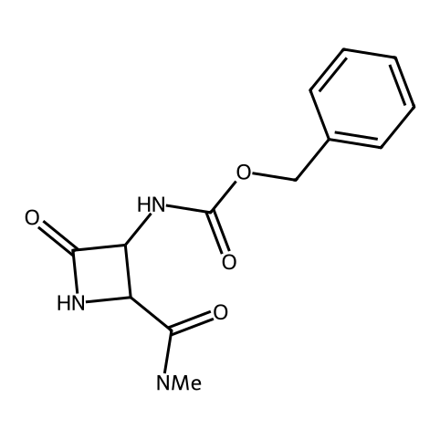 CNC(=O)C1NC(=O)C1NC(=O)OCc1ccccc1